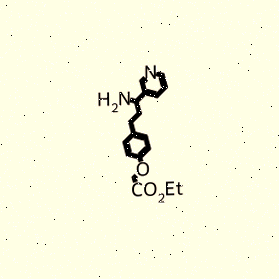 CCOC(=O)COc1ccc(CCC(N)c2cccnc2)cc1